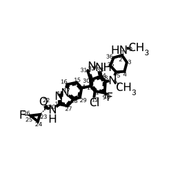 CNC1CCC(N(C)c2c(F)c(Cl)c(-c3ccn4nc(NC(=O)[C@@H]5C[C@@H]5F)cc4c3)c3cn[nH]c23)CC1